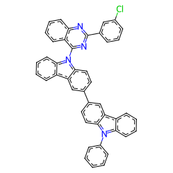 Clc1cccc(-c2nc(-n3c4ccccc4c4cc(-c5ccc6c(c5)c5ccccc5n6-c5ccccc5)ccc43)c3ccccc3n2)c1